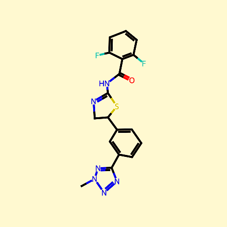 Cn1nnc(-c2cccc(C3CN=C(NC(=O)c4c(F)cccc4F)S3)c2)n1